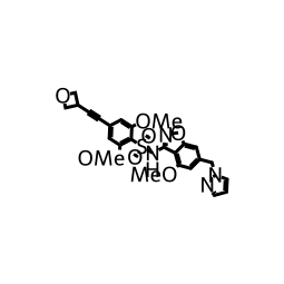 COc1cc(C#CC2COC2)cc(OC)c1S(=O)(=O)Nc1noc2cc(Cn3cccn3)cc(OC)c12